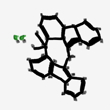 C[Si]1(C)c2cccc3c2[C](=C2C=CC=CC23)[Zr+2][C]2=C3C=CC=CC3c3cccc1c32.[Cl-].[Cl-]